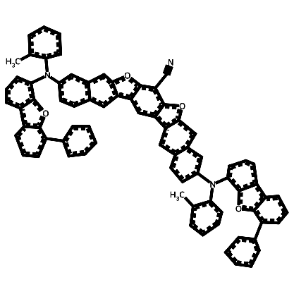 Cc1ccccc1N(c1ccc2cc3c(cc2c1)oc1c(C#N)c2oc4cc5cc(N(c6ccccc6C)c6cccc7c6oc6c(-c8ccccc8)cccc67)ccc5cc4c2cc13)c1cccc2c1oc1c(-c3ccccc3)cccc12